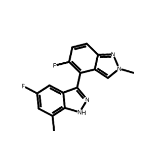 Cc1cc(F)cc2c(-c3c(F)ccc4nn(C)cc34)n[nH]c12